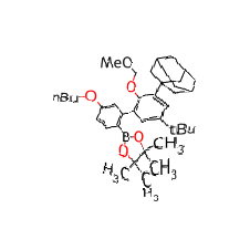 CCCCOc1ccc(B2OC(C)(C)C(C)(C)O2)c(-c2cc(C(C)(C)C)cc(C34CC5CC(CC(C5)C3)C4)c2OCOC)c1